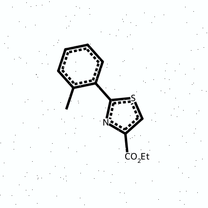 CCOC(=O)c1csc(-c2ccccc2C)n1